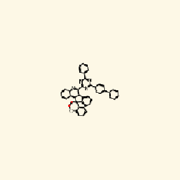 c1ccc(-c2ccc(-c3nc(-c4ccccc4)nc(-c4nc5ccccc5c5c4-c4ccccc4C54c5ccccc5Oc5ccccc54)n3)cc2)cc1